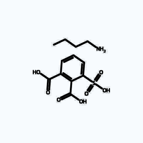 CCCCN.O=C(O)c1cccc(S(=O)(=O)O)c1C(=O)O